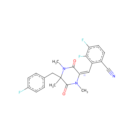 CN1C(=O)C(C)(Cc2ccc(F)cc2)N(C)C(=O)/C1=C\c1c(C#N)ccc(F)c1F